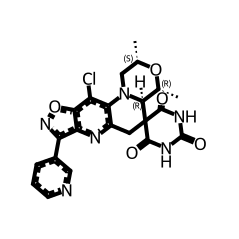 C[C@H]1CN2c3c(nc4c(-c5cccnc5)noc4c3Cl)CC3(C(=O)NC(=O)NC3=O)[C@@H]2[C@@H](C)O1